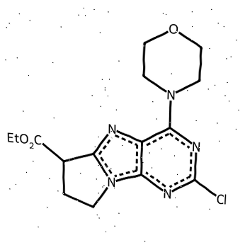 CCOC(=O)C1CCn2c1nc1c(N3CCOCC3)nc(Cl)nc12